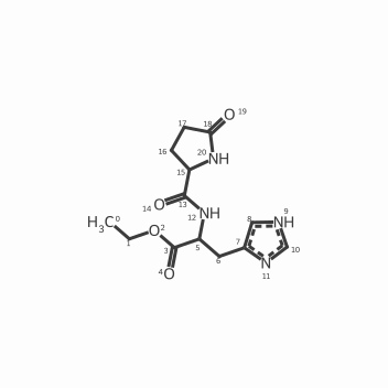 CCOC(=O)C(Cc1c[nH]cn1)NC(=O)C1CCC(=O)N1